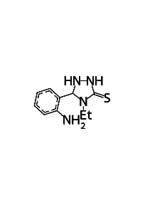 CCN1C(=S)NNC1c1ccccc1N